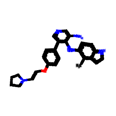 Cc1c(Nc2c(N)cncc2-c2ccc(OCCN3CCCC3)cc2)ccc2[nH]ccc12